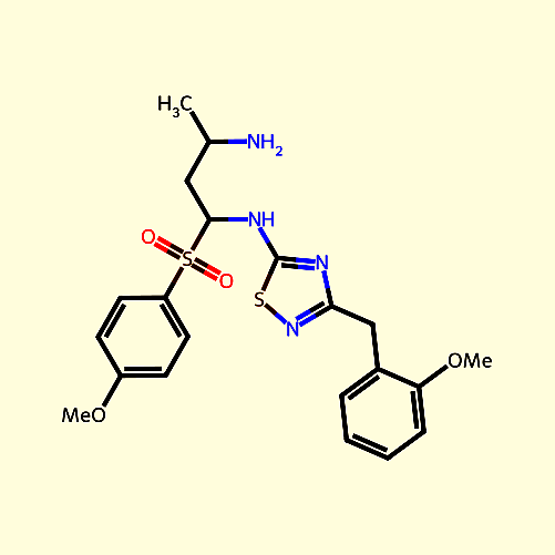 COc1ccc(S(=O)(=O)C(CC(C)N)Nc2nc(Cc3ccccc3OC)ns2)cc1